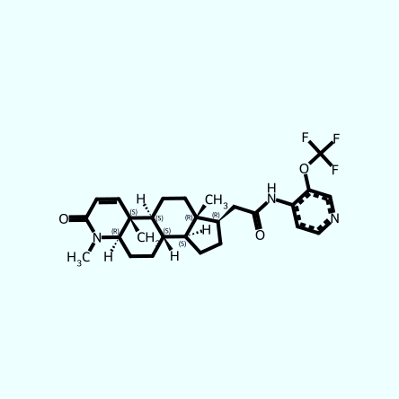 CN1C(=O)C=C[C@]2(C)[C@H]3CC[C@]4(C)[C@@H](CC(=O)Nc5ccncc5OC(F)(F)F)CC[C@H]4[C@@H]3CC[C@@H]12